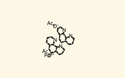 CC(=O)[O-].CC(=O)[O-].[Pd+2].c1cnc2c(c1)ccc1cccnc12.c1cnc2c(c1)ccc1cccnc12